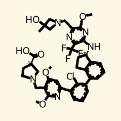 COc1cc(-c2cccc(-c3cccc4c3CC[C@@H]4Nc3nc(OC)c(CN4CC(C)(O)C4)nc3C(F)(F)F)c2Cl)nc(OC)c1CN1CC[C@@H](C(=O)O)C1